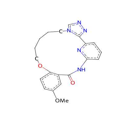 COc1ccc2c(c1)C(=O)Nc1cccc(n1)-c1nncn1CCCCCO2